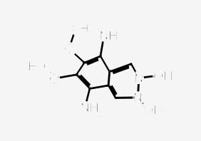 COc1c(OC)c(N)c2c(c1N)=CN(O)N(O)C=2